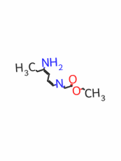 CCOC(=O)/C=N/C=C\C=C(\N)CC